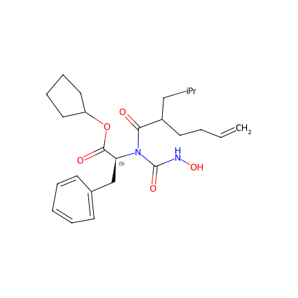 C=CCCC(CC(C)C)C(=O)N(C(=O)NO)[C@@H](Cc1ccccc1)C(=O)OC1CCCC1